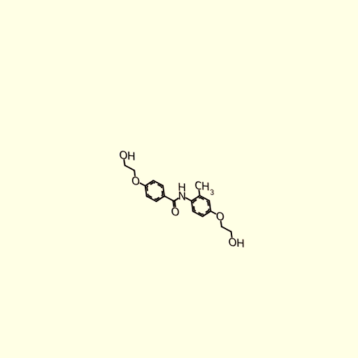 Cc1cc(OCCO)ccc1NC(=O)c1ccc(OCCO)cc1